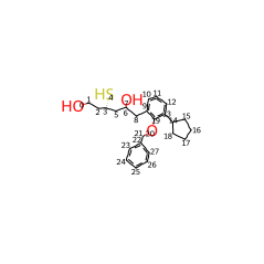 OCC[C@H](S)C[C@H](O)Cc1cccc(C2CCCC2)c1OCc1ccccc1